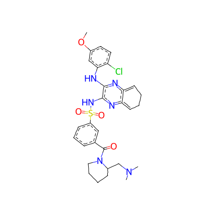 COc1ccc(Cl)c(Nc2nc3c(nc2NS(=O)(=O)c2cccc(C(=O)N4CCCCC4CN(C)C)c2)=CCCC=3)c1